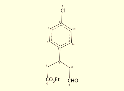 CCOC(=O)CC(CC=O)c1ccc(Cl)cc1